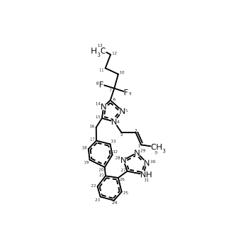 CC=CCn1nc(C(F)(F)CCCC)nc1Cc1ccc(-c2ccccc2-c2nnn[nH]2)cc1